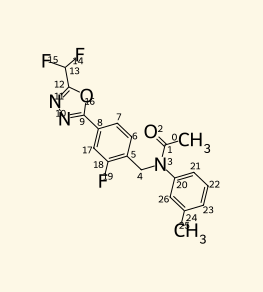 CC(=O)N(Cc1ccc(-c2nnc(C(F)F)o2)cc1F)c1cccc(C)c1